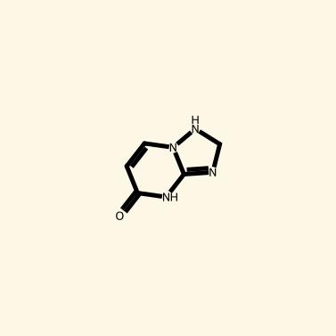 O=C1C=CN2NCN=C2N1